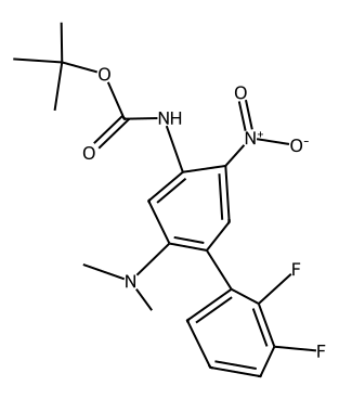 CN(C)c1cc(NC(=O)OC(C)(C)C)c([N+](=O)[O-])cc1-c1cccc(F)c1F